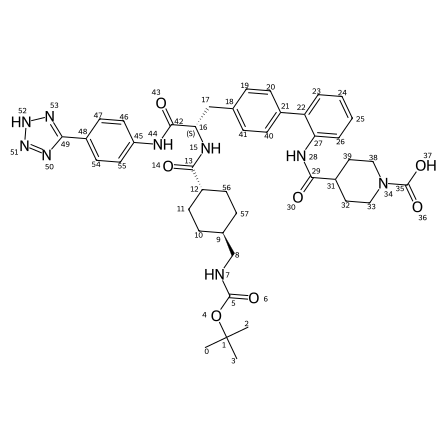 CC(C)(C)OC(=O)NC[C@H]1CC[C@H](C(=O)N[C@@H](Cc2ccc(-c3ccccc3NC(=O)C3CCN(C(=O)O)CC3)cc2)C(=O)Nc2ccc(-c3nn[nH]n3)cc2)CC1